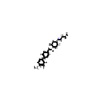 N#Cc1ccc(-c2ccc(CC[C@H]3CC[C@H](/C=C/CCF)CC3)cc2)cc1F